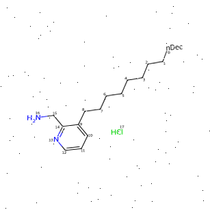 CCCCCCCCCCCCCCCCCCc1cccnc1CN.Cl